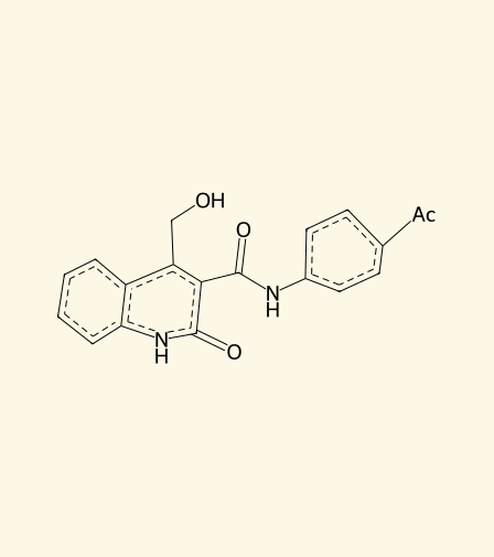 CC(=O)c1ccc(NC(=O)c2c(CO)c3ccccc3[nH]c2=O)cc1